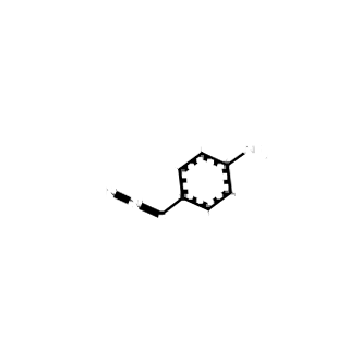 [N-]=[N+]=Cc1ccc(N)cc1